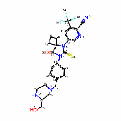 N#Cc1ncc(N2C(=S)N(c3ccc(CN4CCN[C@H](CO)C4)cc3)C(=O)C23CCC3)cc1C(F)(F)F